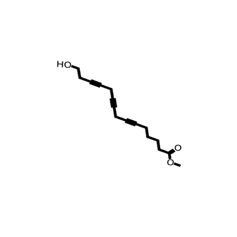 COC(=O)CCCCC#CCC#CCC#CCCO